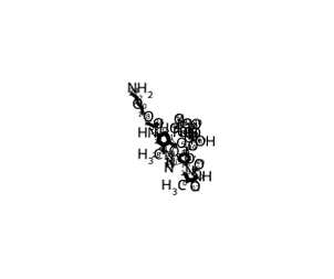 Cc1cn([C@H]2CC(OC(=O)c3ccc(NC(=O)COCCOCCN)cc3C(C)N=[N+]=[N-])[C@@H](COP(=O)(O)OP(=O)(O)OP(=O)(O)O)O2)c(=O)[nH]c1=O